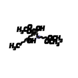 CCCCC[C@H](O)CC[C@@H]1[C@@H](C/C=C\CCCC(=O)OC(C)C)[C@@H](O)C[C@H]1OC(C)=O